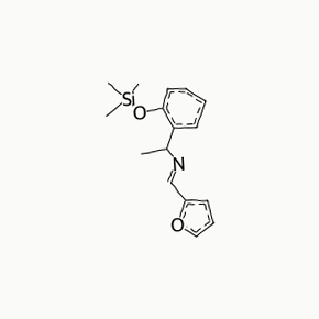 CC(N=Cc1ccco1)c1ccccc1O[Si](C)(C)C